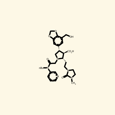 CCCCN(C(=O)CN1C[C@H](c2cc(CO)c3c(c2)OCO3)[C@@H](C(=O)O)[C@@H]1CCN1CCN(C)C1=O)c1cccnc1